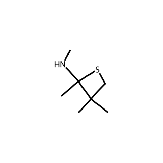 CNC1(C)SCC1(C)C